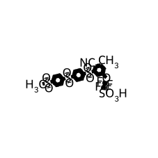 Cc1cc(OC(F)(F)C(F)(F)S(=O)(=O)O)cc(S(=O)(=O)c2ccc(S(=O)(=O)c3ccc(S(C)(=O)=O)cc3)cc2)c1C#N